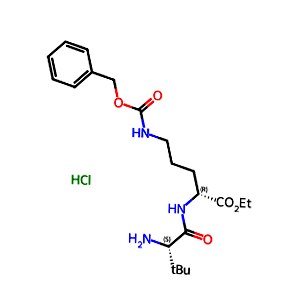 CCOC(=O)[C@@H](CCCNC(=O)OCc1ccccc1)NC(=O)[C@@H](N)C(C)(C)C.Cl